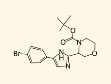 CC(C)(C)OC(=O)N1CCOCC1c1ncc(-c2ccc(Br)cc2)[nH]1